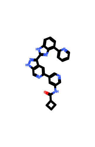 O=C(Nc1cncc(-c2cc3c(-c4nc5c(-c6ccccn6)cccc5[nH]4)n[nH]c3cn2)c1)C1CCC1